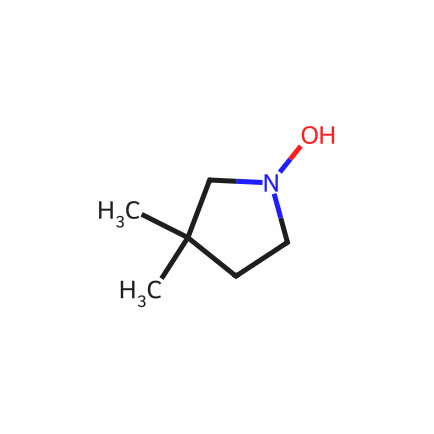 CC1(C)CCN(O)C1